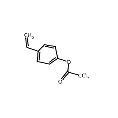 C=Cc1ccc(OC(=O)C(Cl)(Cl)Cl)cc1